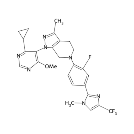 COc1ncnc(C2CC2)c1-n1nc(C)c2c1CN(c1ccc(-c3nc(C(F)(F)F)cn3C)cc1F)CC2